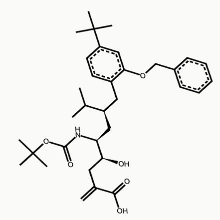 C=C(C[C@H](O)[C@H](C[C@H](Cc1ccc(C(C)(C)C)cc1OCc1ccccc1)C(C)C)NC(=O)OC(C)(C)C)C(=O)O